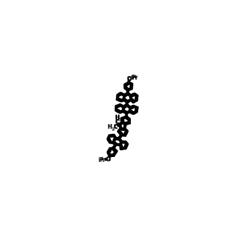 CC(C)Oc1ccc(-c2c3ccccc3c(-c3ccc4c(c3)C(C)(C)c3cc(-c5c6ccccc6c(-c6c7ccccc7c(-c7ccc(OC(C)C)cc7)c7ccccc67)c6ccccc56)ccc3-4)c3ccccc23)cc1